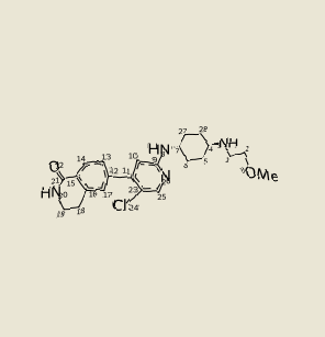 COCCN[C@H]1CC[C@H](Nc2cc(-c3ccc4c(c3)CCNC4=O)c(Cl)cn2)CC1